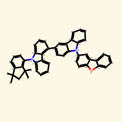 CC1(C)CC(C)(C)c2c(-n3c4ccccc4c4c(-c5ccc6c(c5)c5ccccc5n6-c5ccc6oc7ccccc7c6c5)cccc43)cccc21